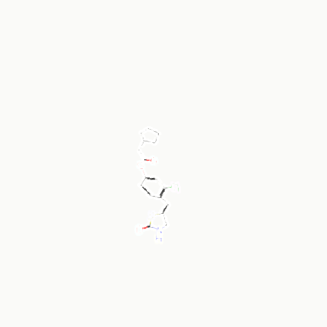 O=C(CC1CCCC1)Oc1ccc(/C=C2/CNC(=O)S2)c(Cl)c1